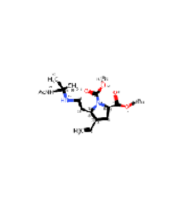 C=C[C@@H]1C[C@H](C(=O)OC(C)(C)C)N(C(=O)OC(C)(C)C)[C@@H]1CCNC(C)(C)NC(C)=O